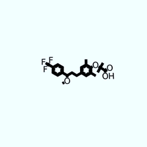 COC(CCc1cc(C)c(OC(C)(C)C(=O)O)c(C)c1)c1ccc(C(F)(F)F)cc1